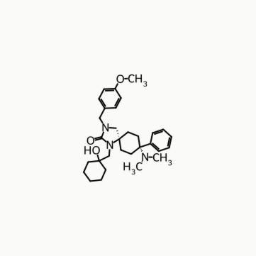 COc1ccc(CN2C[C@]3(CC[C@@](c4ccccc4)(N(C)C)CC3)N(CC3(O)CCCCC3)C2=O)cc1